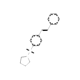 O=S(=O)(c1ccc(C=Cc2ccccc2)cc1)N1[CH]CCC1